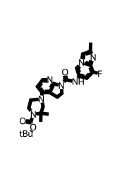 Cc1cn2cc(NC(=O)N3CCc4c(N5CCN(C(=O)OC(C)(C)C)C(C)(C)C5)ccnc43)cc(F)c2n1